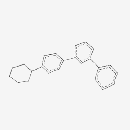 c1ccc(-c2cccc(-c3ccc(C4CCCCC4)cc3)c2)cc1